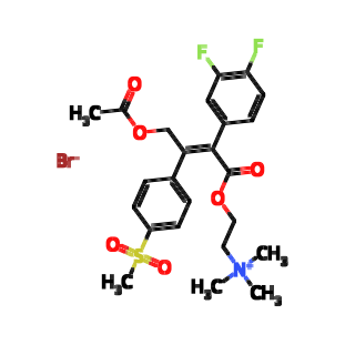 CC(=O)OCC(=C(C(=O)OCC[N+](C)(C)C)c1ccc(F)c(F)c1)c1ccc(S(C)(=O)=O)cc1.[Br-]